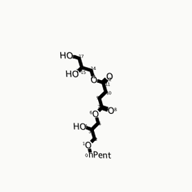 CCCCCOCC(O)COC(=O)CCC(=O)OCC(O)CO